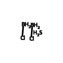 BCl.BCl.S